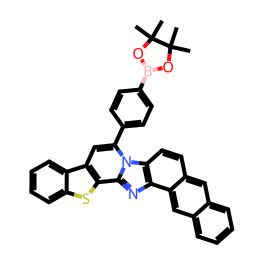 CC1(C)OB(c2ccc(-c3cc4c5ccccc5sc4c4nc5c6cc7ccccc7cc6ccc5n34)cc2)OC1(C)C